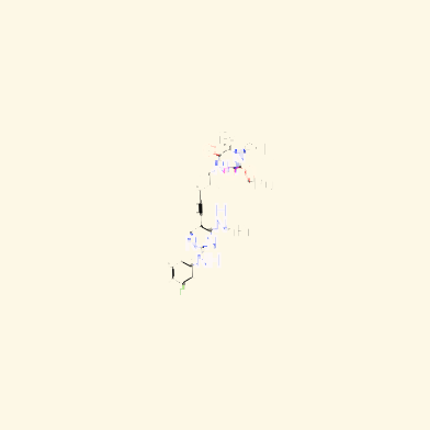 CCCNc1nc(Nc2cccc(F)c2)ncc1C#CCCCNC(=O)[C@H](C(C)C)N(C)C(=O)OC(C)(C)C